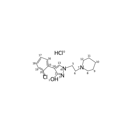 Cl.Oc1nn(CCN2CCCCC2)cc1-c1ccccc1Cl